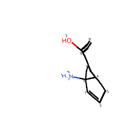 C=C(O)C1C2CC=CC21N